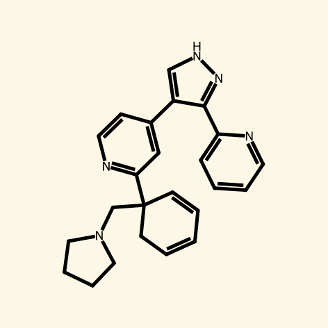 C1=CCC(CN2CCCC2)(c2cc(-c3c[nH]nc3-c3ccccn3)ccn2)C=C1